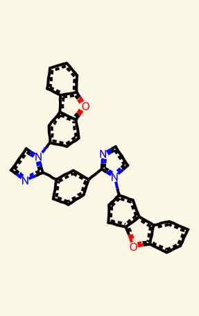 c1cc(-c2nccn2-c2ccc3oc4ccccc4c3c2)cc(-c2nccn2-c2ccc3oc4ccccc4c3c2)c1